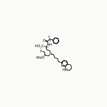 CO[C@H](CF)CN(CCCCc1ccc2c(n1)NCCC2)CC[C@H](NC(=O)[C@@H](C)c1ccccc1)C(=O)O